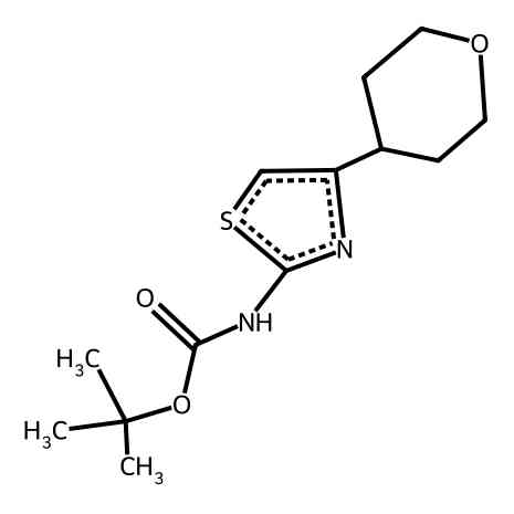 CC(C)(C)OC(=O)Nc1nc(C2CCOCC2)cs1